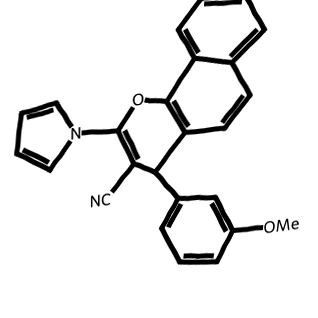 COc1cccc(C2C(C#N)=C(n3cccc3)Oc3c2ccc2ccccc32)c1